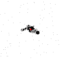 C[Si](C)(C)CCOCn1cc(C2=CCN(C(=O)O)CC2)c2c(-c3ccc(CNC(=O)Nc4ccccc4)c(F)c3)ncnc21